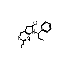 CCC(c1ccccc1)N1C(=O)Cc2cnc(Cl)nc21